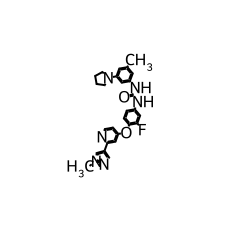 Cc1cc(NC(=O)Nc2ccc(Oc3ccnc(-c4cnn(C)c4)c3)c(F)c2)cc(N2CCCC2)c1